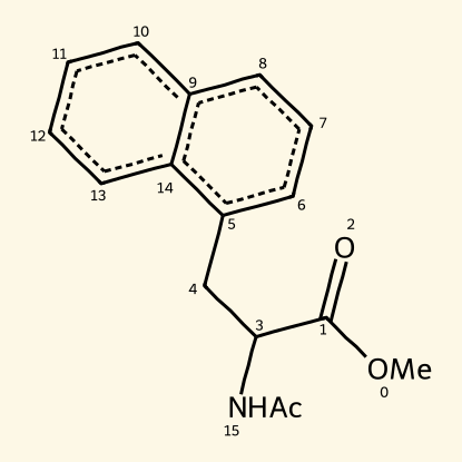 COC(=O)C(Cc1cccc2ccccc12)NC(C)=O